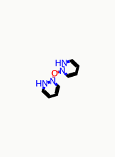 C1=CNN(ON2C=CC=CN2)C=C1